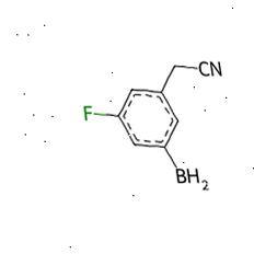 Bc1cc(F)cc(CC#N)c1